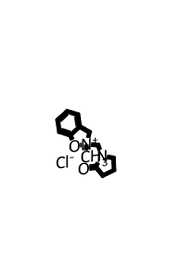 C[N+]1(CN2CCCC2=O)Cc2ccccc2O1.[Cl-]